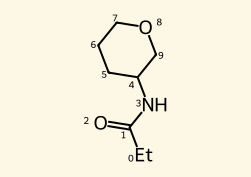 CCC(=O)NC1CCCOC1